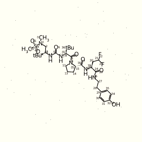 CN(C[C@@H](NC(=O)N[C@H](C(=O)N1CCC[C@H]1C(=O)N[C@@H](CC(F)F)C(=O)NCCc1ccc(O)cc1)C(C)(C)C)C(C)(C)C)S(C)(=O)=O